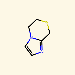 c1cn2c(n1)CSCC2